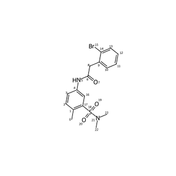 Cc1ccc(NC(=O)Cc2ccccc2Br)cc1S(=O)(=O)N(C)C